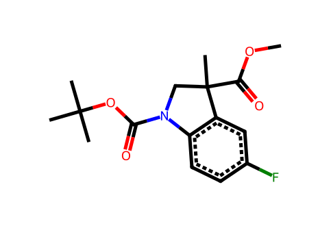 COC(=O)C1(C)CN(C(=O)OC(C)(C)C)c2ccc(F)cc21